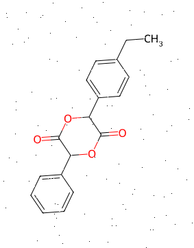 CCc1ccc(C2OC(=O)C(c3ccccc3)OC2=O)cc1